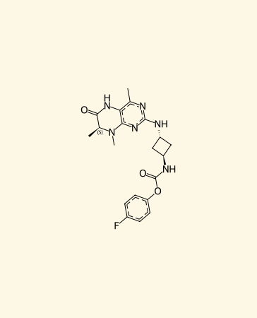 Cc1nc(N[C@H]2C[C@H](NC(=O)Oc3ccc(F)cc3)C2)nc2c1NC(=O)[C@H](C)N2C